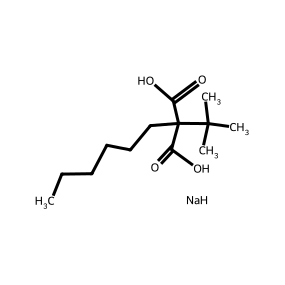 CCCCCCC(C(=O)O)(C(=O)O)C(C)(C)C.[NaH]